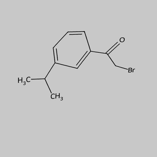 CC(C)c1cccc(C(=O)CBr)c1